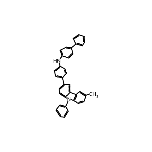 Cc1ccc2c(c1)c1cc(-c3ccc(Nc4ccc(-c5ccccc5)cc4)cc3)ccc1n2-c1ccccc1